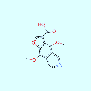 COc1c2ccncc2c(OC)c2c(C(=O)O)coc12